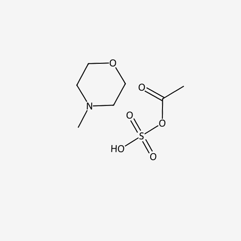 CC(=O)OS(=O)(=O)O.CN1CCOCC1